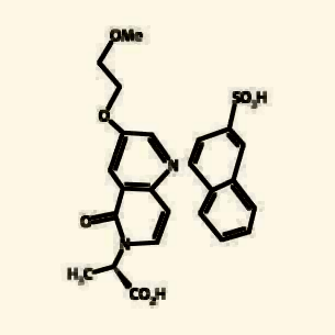 COCCOc1cnc2ccn([C@H](C)C(=O)O)c(=O)c2c1.O=S(=O)(O)c1ccc2ccccc2c1